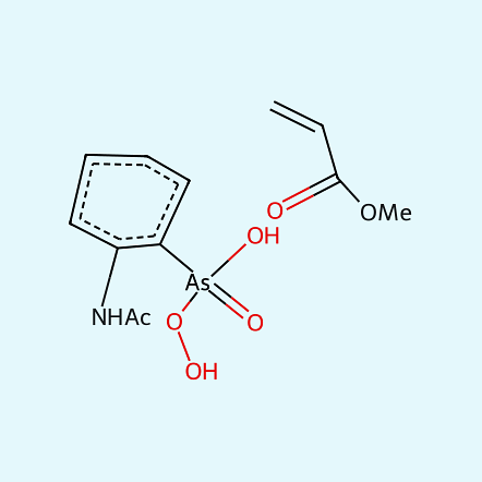 C=CC(=O)OC.CC(=O)Nc1ccccc1[As](=O)(O)OO